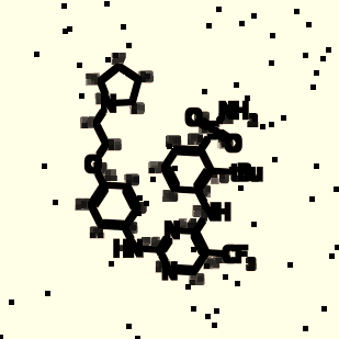 CC(C)(C)c1c(Nc2nc(Nc3ccc(OCCN4CCCC4)cc3)ncc2C(F)(F)F)cccc1S(N)(=O)=O